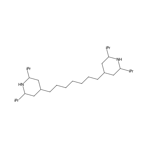 CC(C)C1CC(CCCCCCCC2CC(C(C)C)NC(C(C)C)C2)CC(C(C)C)N1